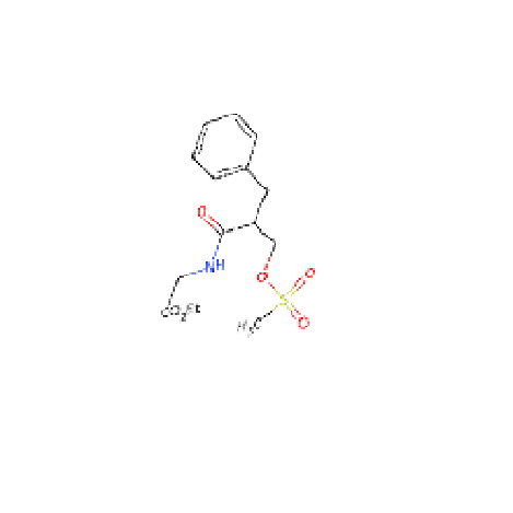 CCOC(=O)CNC(=O)C(COS(C)(=O)=O)Cc1ccccc1